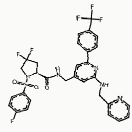 O=C(NCc1cc(NCc2ccccn2)nc(-c2ccc(C(F)(F)F)cc2)c1)[C@@H]1CC(F)(F)CN1S(=O)(=O)c1ccc(F)cc1